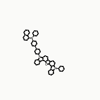 c1ccc(N(c2ccc(-c3ccc(-n4c5ccccc5c5c6oc7c(ccc8c7c7ccccc7n8-c7ccccc7)c6ccc54)cc3)cc2)c2cccc3ccccc23)cc1